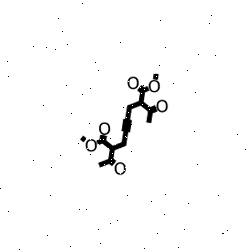 COC(=O)C(CC#CCC(C(C)=O)C(=O)OC)C(C)=O